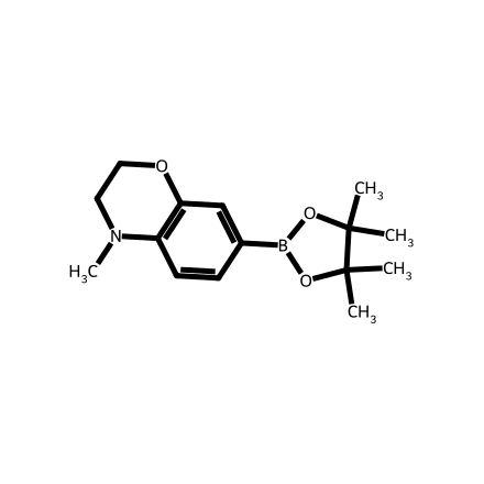 CN1CCOc2cc(B3OC(C)(C)C(C)(C)O3)ccc21